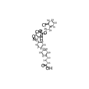 Cc1onc(-c2ccc(-c3ccc(CCCC(=O)O)cc3)cc2)c1NC(=O)OCCc1ccccc1Cl